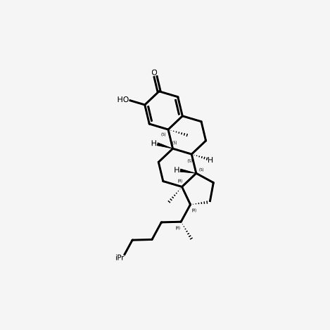 CC(C)CCC[C@@H](C)[C@H]1CC[C@H]2[C@@H]3CCC4=CC(=O)C(O)=C[C@]4(C)[C@H]3CC[C@]12C